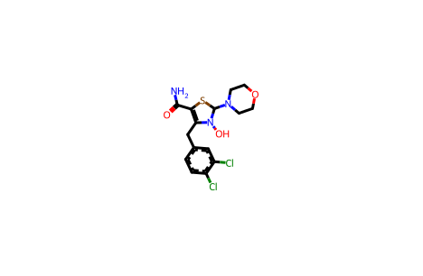 NC(=O)C1=C(Cc2ccc(Cl)c(Cl)c2)N(O)C(N2CCOCC2)S1